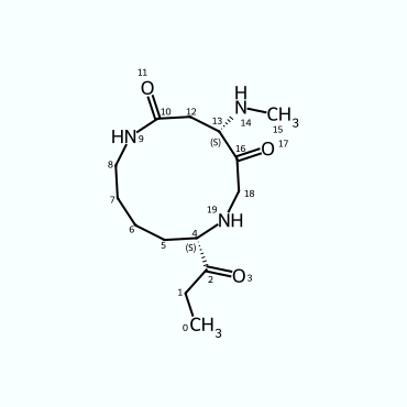 CCC(=O)[C@@H]1CCCCNC(=O)C[C@H](NC)C(=O)CN1